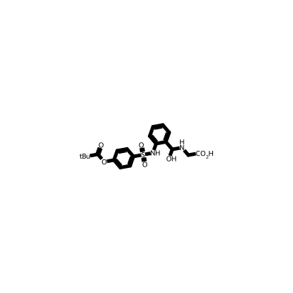 CC(C)(C)C(=O)Oc1ccc(S(=O)(=O)Nc2ccccc2C(O)NCC(=O)O)cc1